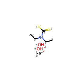 CCN(CC)C(=S)[S-].O.O.[Na+]